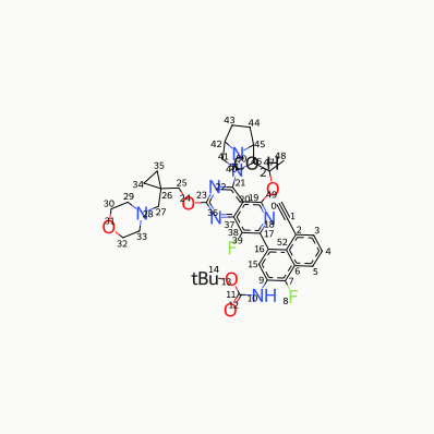 C#Cc1cccc2c(F)c(NC(=O)OC(C)(C)C)cc(-c3nc4c5c(nc(OCC6(CN7CCOCC7)CC6)nc5c3F)N3CC5CCC(C3C(C)O4)N5C(=O)O)c12